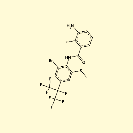 CSc1cc(C(F)(C(F)(F)F)C(F)(F)F)cc(Br)c1NC(=O)c1cccc(N)c1F